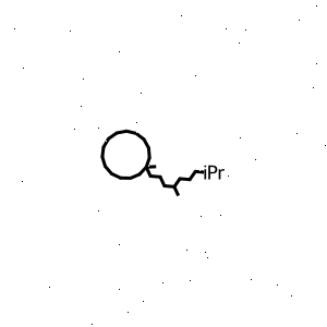 CC(C)CCCC(C)CCCC1(C)CCCCCCCCCCCCCC1